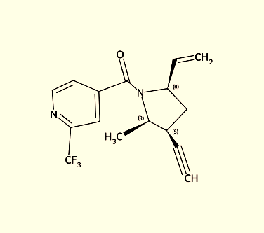 C#C[C@@H]1C[C@H](C=C)N(C(=O)c2ccnc(C(F)(F)F)c2)[C@@H]1C